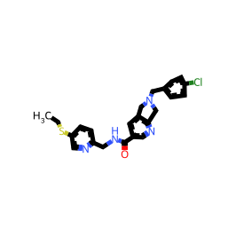 CCSc1ccc(CNC(=O)c2cnc3c(c2)CN(Cc2ccc(Cl)cc2)C3)nc1